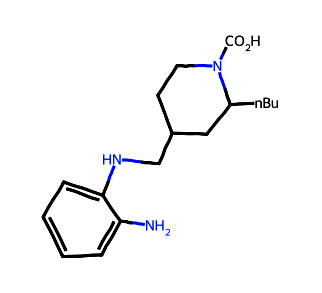 CCCCC1CC(CNc2ccccc2N)CCN1C(=O)O